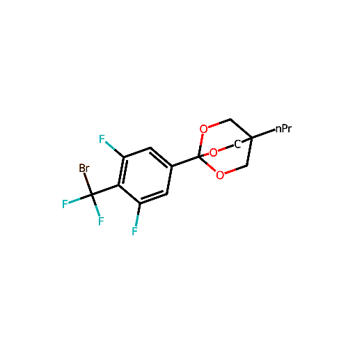 CCCC12COC(c3cc(F)c(C(F)(F)Br)c(F)c3)(OC1)OC2